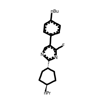 CCCCc1ccc(-c2cnc([C@H]3CC[C@H](CCC)CC3)nc2F)cc1